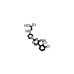 CC[C@@H](O)CN[C@@H]1CCN(c2nnc(-c3cccc(Cl)c3Cl)c(N)n2)C1